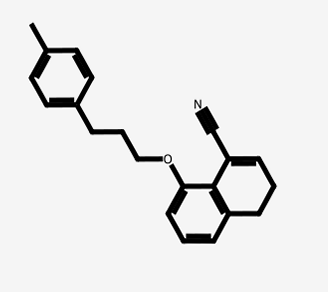 Cc1ccc(CCCOc2cccc3c2C(C#N)=CCC3)cc1